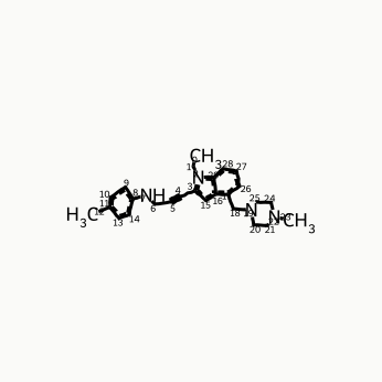 CCn1c(C#CCNc2ccc(C)cc2)cc2c(CN3CCN(C)CC3)cccc21